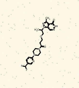 Cc1nn(C(C)COCCC(=O)N2CCN(c3ccc(C(F)F)cn3)CC2)c2cn[nH]c(=O)c12